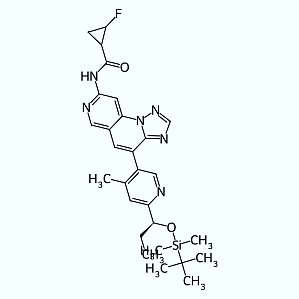 CC[C@H](O[Si](C)(C)C(C)(C)C)c1cc(C)c(-c2cc3cnc(NC(=O)C4CC4F)cc3n3ncnc23)cn1